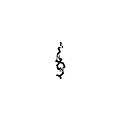 CSCCCN1CC2(CCN(CC(C)C)CC2)C1